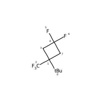 CC(C)(C)C1(C(F)(F)F)CC(F)(F)C1